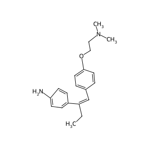 CCC(=Cc1ccc(OCCN(C)C)cc1)c1ccc(N)cc1